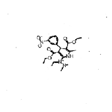 CC=[N+](C1=C(C(=O)OCC)C(c2cccc([N+](=O)[O-])c2)C(C(=O)OCC)=C(C)N1)N(C)C